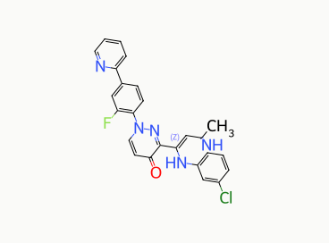 CC(=N)/C=C(\Nc1cccc(Cl)c1)c1nn(-c2ccc(-c3ccccn3)cc2F)ccc1=O